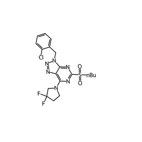 CCCCS(=O)(=O)c1nc(N2CCC(F)(F)C2)c2nnn(Cc3ccccc3Cl)c2n1